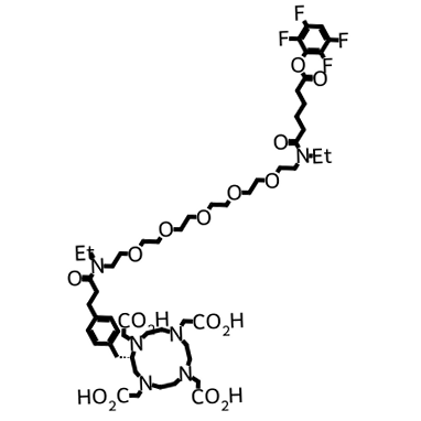 CCN(CCOCCOCCOCCOCCOCCN(CC)C(=O)CCc1ccc(C[C@H]2CN(CC(=O)O)CCN(CC(=O)O)CCN(CC(=O)O)CCN2CC(=O)O)cc1)C(=O)CCCCC(=O)Oc1c(F)c(F)cc(F)c1F